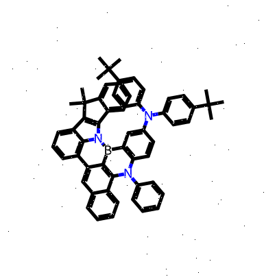 CC(C)(C)c1ccc(N(c2ccc(C(C)(C)C)cc2)c2ccc3c(c2)B2c4c(cc5ccccc5c4N3c3ccccc3)-c3cccc4c5c(n2c34)-c2ccccc2C5(C)C)cc1